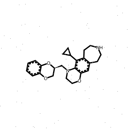 c1ccc2c(c1)OC[C@H](CN1CCOc3cc4c(c(C5CC5)c31)CCNCC4)O2